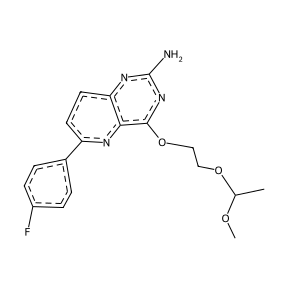 COC(C)OCCOc1nc(N)nc2ccc(-c3ccc(F)cc3)nc12